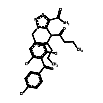 CCCC(=O)N(C(=O)CCC)c1c(C(N)=O)nnn1Cc1cc(Cl)c(C(=O)c2ccc(Cl)cc2)c(Cl)c1